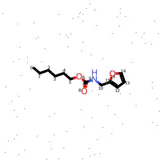 CCCCCCOC(=O)NCc1ccco1